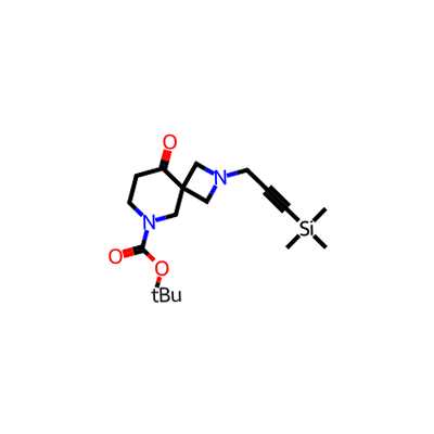 CC(C)(C)OC(=O)N1CCC(=O)C2(CN(CC#C[Si](C)(C)C)C2)C1